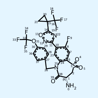 N[C@H]1CS(=O)(=O)c2cc(F)c(-c3noc(C4(C(F)(F)F)CC4)n3)cc2N(Cc2ccc(OC(F)(F)F)cc2)C1=O